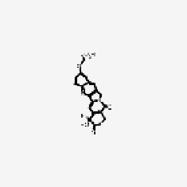 CCC1(O)C(=O)OCc2c1cc1n(c2=O)Cc2cc3cc(OCC(=O)O)ccc3nc2-1